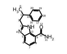 CC(Cc1nc2cccc(C(N)=O)c2[nH]1)c1ccccc1